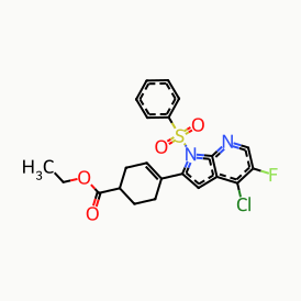 CCOC(=O)C1CC=C(c2cc3c(Cl)c(F)cnc3n2S(=O)(=O)c2ccccc2)CC1